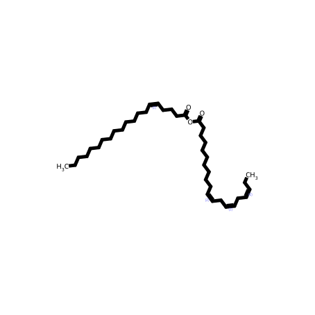 CC/C=C\C/C=C\C/C=C\CCCCCCCCCC(=O)OC(=O)CCC/C=C\CCCCCCCCCCCCCC